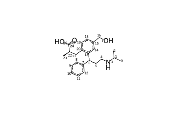 CC(C)NCCC(c1ccccc1)c1cc(CO)ccc1C[C@@H](C)C(=O)O